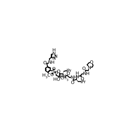 Cc1ccc(C(=O)NCc2c[nH]nn2)cc1S(=O)(=O)OCC(C)(O)C(=O)[C@H](CC(C)C)NC(=O)CNC(=O)[C@H](CC(C)C)NC(=O)CNC(=O)CN1CCOCC1